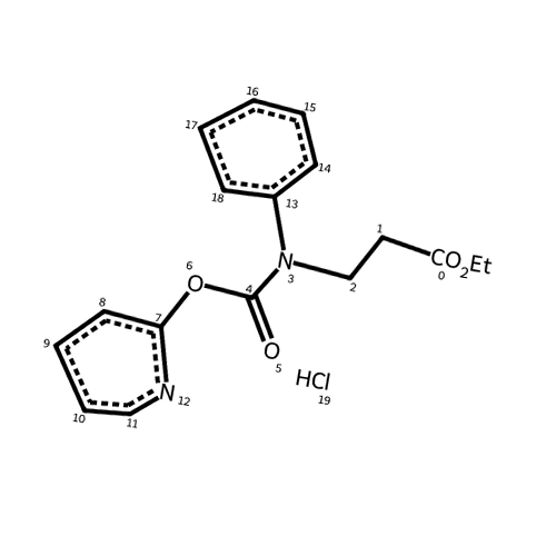 CCOC(=O)CCN(C(=O)Oc1ccccn1)c1ccccc1.Cl